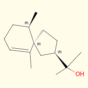 CC1=CCC[C@@H](C)[C@]12CC[C@@H](C(C)(C)O)C2